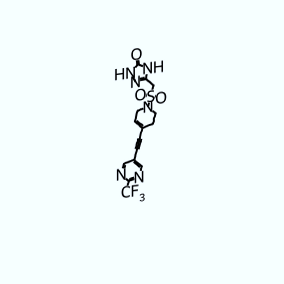 O=c1[nH]nc(CS(=O)(=O)N2CC=C(C#Cc3cnc(C(F)(F)F)nc3)CC2)[nH]1